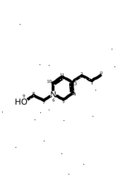 CCCC1=CCN(CCO)C=C1